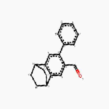 O=Cc1cc2c(cc1-c1ccccc1)C1CCC2CC1